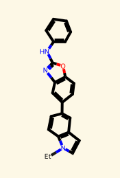 CCn1ccc2cc(-c3ccc4oc(Nc5ccccc5)nc4c3)ccc21